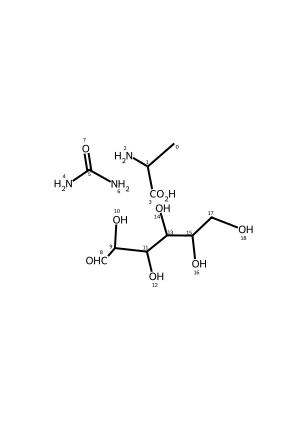 CC(N)C(=O)O.NC(N)=O.O=CC(O)C(O)C(O)C(O)CO